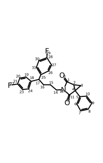 O=C1C2CC2(c2ccccc2)C(=O)N1CCCC(c1ccc(F)cc1)c1ccc(F)cc1